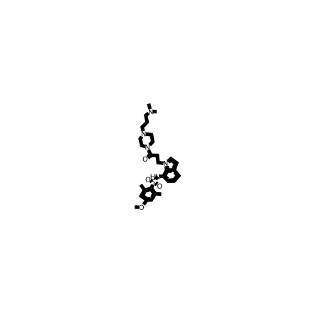 COc1cc(C)c(S(=O)(=O)Nc2cccc3ccn(CCC(=O)N4CCN(CCCN(C)C)CC4)c23)c(C)c1